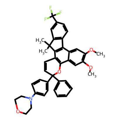 COc1cc2c3c(c4c(c2cc1OC)-c1ccc(C(F)(F)F)cc1C4(C)C)C=CC(c1ccccc1)(c1ccc(N2CCOCC2)cc1)O3